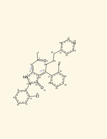 CC(=O)/C=c1/[nH]n(-c2ccccc2Cl)c(=O)/c1=C(/CCCc1ccncc1)c1ccccc1F